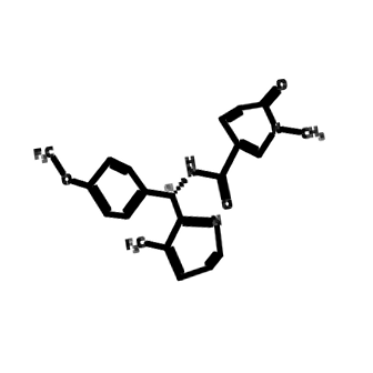 Cn1cc(C(=O)N[C@@H](c2ccc(OC(F)(F)F)cc2)c2ncccc2C(F)(F)F)ccc1=O